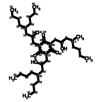 CCCCN(C)CC(O)Cn1c(=O)n(CC(O)CN(CCCC)CCCC)c(=O)n(CC(O)CN(CCCC)CCCC)c1=O